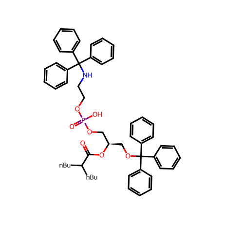 CCCCC(CCCC)C(=O)O[C@H](COC(c1ccccc1)(c1ccccc1)c1ccccc1)COP(=O)(O)OCCNC(c1ccccc1)(c1ccccc1)c1ccccc1